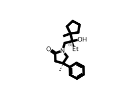 CC[C@@](O)(CN1C[C@@](C)(c2ccccc2)CC1=O)C1(C)CCCC1